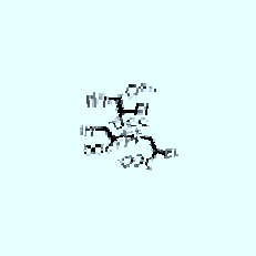 CCC/C=C(/CC)C(=O)[O-].CCC/C=C(/CC)C(=O)[O-].CCC/C=C(/CC)C(=O)[O-].[Cr+3]